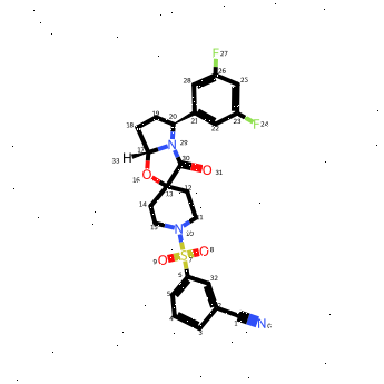 N#Cc1cccc(S(=O)(=O)N2CCC3(CC2)O[C@@H]2CC[C@@H](c4cc(F)cc(F)c4)N2C3=O)c1